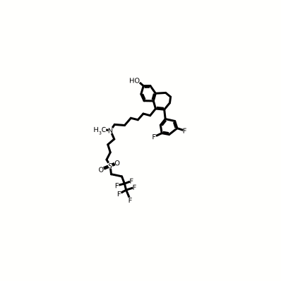 CN(CCCCCCC1=C(c2cc(F)cc(F)c2)CCCc2cc(O)ccc21)CCCCS(=O)(=O)CCC(F)(F)C(F)(F)F